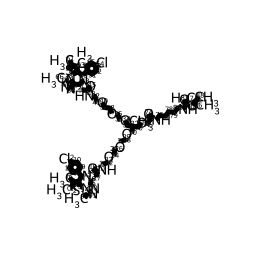 Cc1sc2c(c1C)C(c1ccc(Cl)cc1)=N[C@H](CC(=O)NCCOCCOCCOCC(C)(COCCOCCOCCNC(=O)C[C@H]1N=C(c3ccc(Cl)cc3)c3c(sc(C)c3C)-n3c(C)nnc31)COCC(=O)NCCCCCNC(=O)OC(C)(C)C)c1nnc(C)n1-2